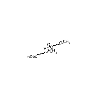 C=COCCCCOC(=O)NC(C)CCCCCCCCCCCCCCCC